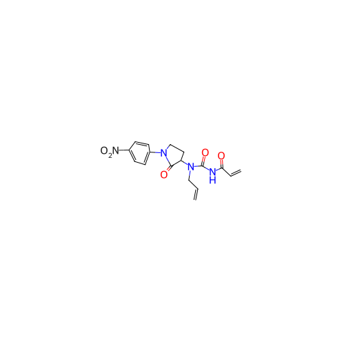 C=CCN(C(=O)NC(=O)C=C)C1CCN(c2ccc([N+](=O)[O-])cc2)C1=O